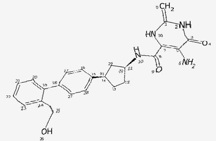 C=C1NC(=O)C(N)=C(C(=O)N[C@H]2CC[C@@H](c3ccc(-c4ccccc4CO)cc3)C2)N1